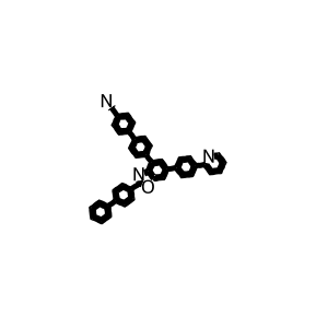 N#Cc1ccc(-c2ccc(-c3cc(-c4ccc(-c5ccccn5)cc4)cc4oc(-c5ccc(-c6ccccc6)cc5)nc34)cc2)cc1